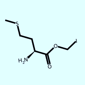 CSCC[C@H](N)C(=O)OCI